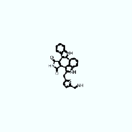 Cc1[nH]c2ccccc2c1C1=C(c2c(Cc3ccc(C=N)s3)[nH]c3ccccc23)C(=O)NC1=O